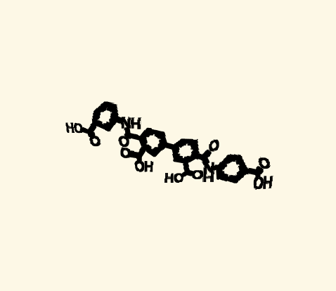 O=C(O)c1ccc(NC(=O)c2ccc(-c3ccc(C(=O)Nc4cccc(C(=O)O)c4)c(C(=O)O)c3)cc2C(=O)O)cc1